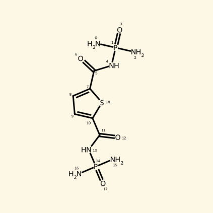 NP(N)(=O)NC(=O)c1ccc(C(=O)NP(N)(N)=O)s1